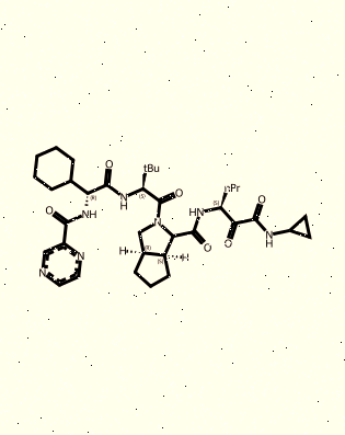 CCC[C@H](NC(=O)C1[C@H]2CCC[C@H]2CN1C(=O)[C@@H](NC(=O)[C@H](NC(=O)c1cnccn1)C1CCCCC1)C(C)(C)C)C(=O)C(=O)NC1CC1